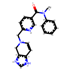 CC(C)N(C(=O)c1ccc(CN2C=Cc3[nH]cnc3C2)nc1)c1ccccc1